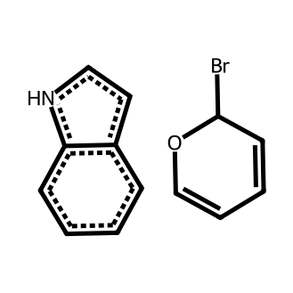 BrC1C=CC=CO1.c1ccc2[nH]ccc2c1